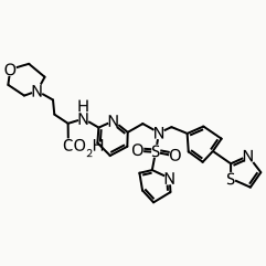 O=C(O)C(CCN1CCOCC1)Nc1cccc(CN(Cc2ccc(-c3nccs3)cc2)S(=O)(=O)c2ccccn2)n1